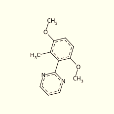 COc1ccc(OC)c(-c2ncccn2)c1C